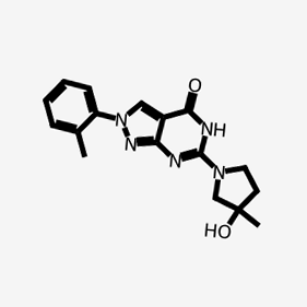 Cc1ccccc1-n1cc2c(=O)[nH]c(N3CCC(C)(O)C3)nc2n1